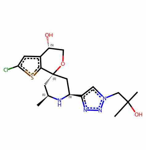 C[C@H]1C[C@@]2(C[C@@H](c3cn(CC(C)(C)O)nn3)N1)OC[C@@H](O)c1cc(Cl)sc12